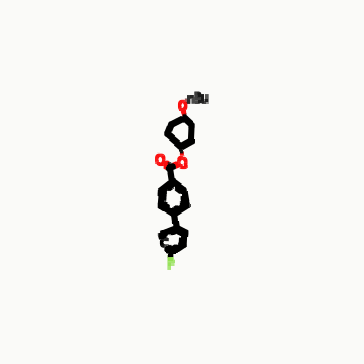 CCCCO[C@H]1CC[C@H](OC(=O)c2ccc(-c3ccc(F)cc3)cc2)CC1